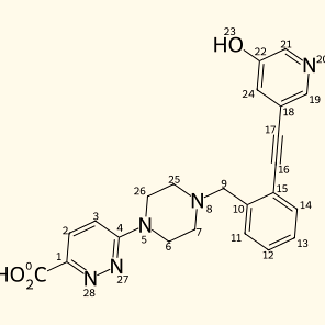 O=C(O)c1ccc(N2CCN(Cc3ccccc3C#Cc3cncc(O)c3)CC2)nn1